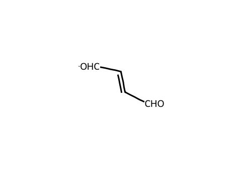 O=[C]C=CC=O